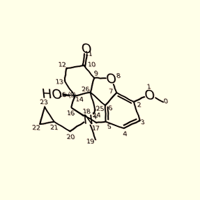 COc1ccc2c3c1OC1C(=O)CC[C@@]4(O)C(C2)[N+](C)(CC2CC2)CCC314